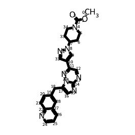 COC(=O)N1CCC(n2cc(-c3cnc4ncc(Cc5ccc6ncccc6c5)n4n3)cn2)CC1